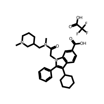 CN1CCCC(CN(C)C(=O)Cn2c(-c3ccccc3)c(C3CCCCC3)c3ccc(C(=O)O)cc32)C1.O=C(O)C(F)(F)F